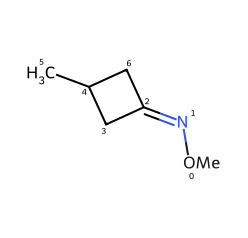 CON=C1CC(C)C1